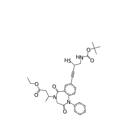 CCOC(=O)CC(C)N1CC(=O)N(c2ccccc2)c2ccc(C#CC(S)CNC(=O)OC(C)(C)C)cc2C1=O